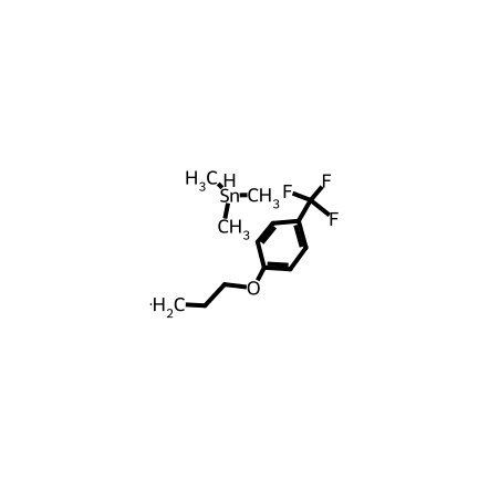 [CH2]CCOc1ccc(C(F)(F)F)cc1.[CH3][SnH]([CH3])[CH3]